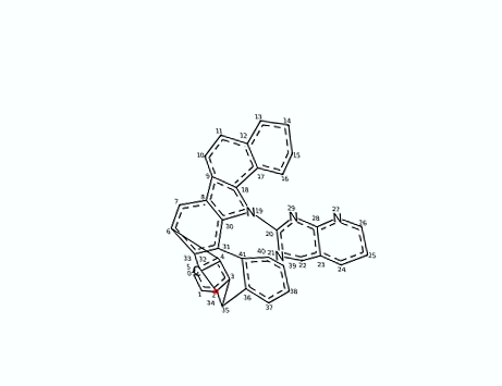 c1ccc2c(c1)-c1cc3c4ccc5ccccc5c4n(-c4ncc5cccnc5n4)c3c3c1CCC2c1ccccc1-3